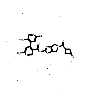 COc1cnc(Cl)cc1-c1cc(C)ncc1C(=O)Nc1nc2c(s1)CN(C(=O)C1CC(C(F)(F)F)C1)C2